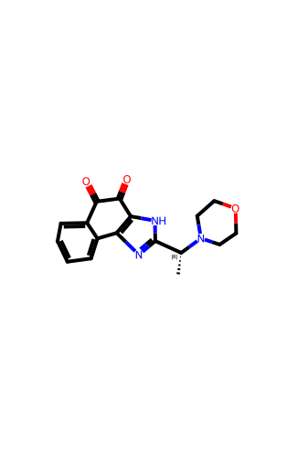 C[C@H](c1nc2c([nH]1)C(=O)C(=O)c1ccccc1-2)N1CCOCC1